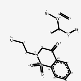 C=C.CCOC(C)OCC.O=C1CN(CCCl)S(=O)(=O)c2ccccc21